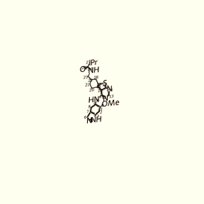 COc1cc2[nH]ncc2cc1Nc1ncnc2sc3c(c12)CCC(CNC(=O)C(C)C)C3